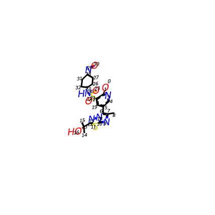 COc1ncc(-c2c(C)nc3sc(C(C)(C)O)nn23)cc1S(=O)(=O)N[C@H]1CC[C@H](N=O)CC1